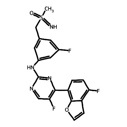 CS(=N)(=O)Cc1cc(F)cc(Nc2ncc(F)c(-c3ccc(F)c4ccoc34)n2)c1